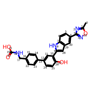 Cc1nc(-c2ccc3[nH]c(-c4cc(-c5ccc(CNC(=O)O)cc5)ccc4O)cc3c2)no1